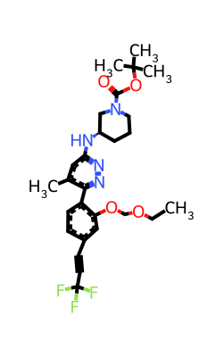 CCOCOc1cc(C#CC(F)(F)F)ccc1-c1nnc(N[C@@H]2CCCN(C(=O)OC(C)(C)C)C2)cc1C